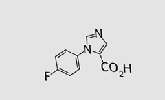 O=C(O)c1cncn1-c1ccc(F)cc1